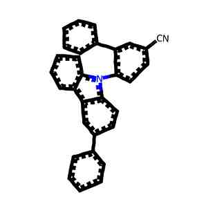 N#Cc1ccc(-n2c3ccccc3c3cc(-c4ccccc4)ccc32)c(-c2ccccc2)c1